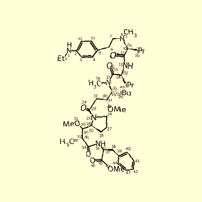 CCNc1ccc(CCN(C)[C@H](C(=O)N[C@H](C(=O)N(C)[C@@H]([C@@H](C)CC)[C@@H](CC(=O)N2CCC[C@H]2[C@H](OC)[C@@H](C)C(=O)N[C@@H](Cc2ccccc2)C(=O)OC)OC)C(C)C)C(C)C)cc1